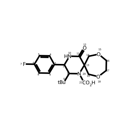 CC(C)(C)C1C(c2ccc(F)cc2)NC(=O)C2(COCCOC2)N1C(=O)O